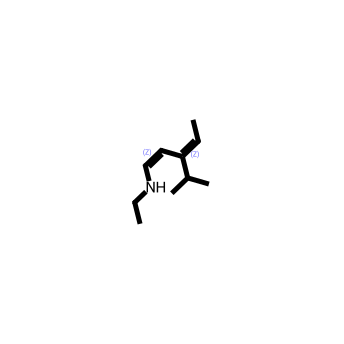 C/C=C(\C=C/NCC)C(C)C